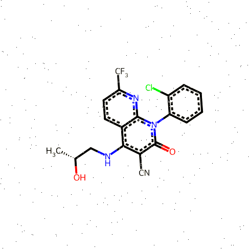 C[C@@H](O)CNc1c(C#N)c(=O)n(-c2ccccc2Cl)c2nc(C(F)(F)F)ccc12